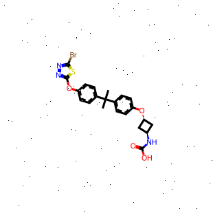 CC(C)(c1ccc(Oc2nnc(Br)s2)cc1)c1ccc(O[C@H]2C[C@H](NC(=O)O)C2)cc1